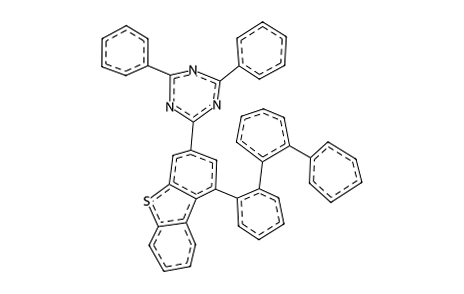 c1ccc(-c2nc(-c3ccccc3)nc(-c3cc(-c4ccccc4-c4ccccc4-c4ccccc4)c4c(c3)sc3ccccc34)n2)cc1